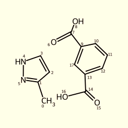 Cc1cc[nH]n1.O=C(O)c1cccc(C(=O)O)c1